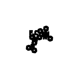 FC(F)(F)c1ccccc1-c1cc(-n2c3ccccc3c3cc(-n4c5ccccc5c5ccccc54)ccc32)ccc1-c1nc(-c2ccccc2)nc(-c2ccccc2)n1